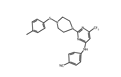 Cc1ccc(SN2CCN(c3nc(Nc4ccc(C#N)cc4)cc(C(F)(F)F)n3)CC2)cc1